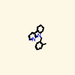 Cc1ccccc1Cn1c2ccccc2c2cccnc21